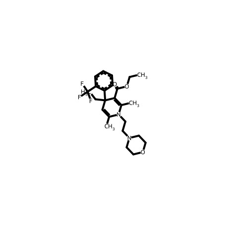 CCOC(=O)C1=C(C)N(CCN2CCOCC2)C(C)=CC1(CC)c1ccccc1C(F)(F)F